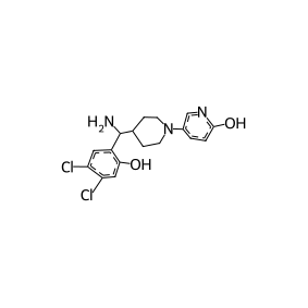 NC(c1cc(Cl)c(Cl)cc1O)C1CCN(c2ccc(O)nc2)CC1